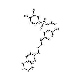 O=C(C[C@@H]1C(=O)NC=CN1S(=O)(=O)c1ccc(Cl)c(Cl)c1)NCCCc1ccc2c(n1)NCCC2